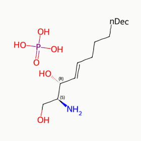 CCCCCCCCCCCCCC=C[C@@H](O)[C@@H](N)CO.O=P(O)(O)O